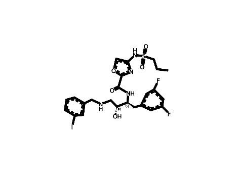 CCCS(=O)(=O)Nc1coc(C(=O)N[C@@H](Cc2cc(F)cc(F)c2)[C@H](O)CNCc2cccc(I)c2)n1